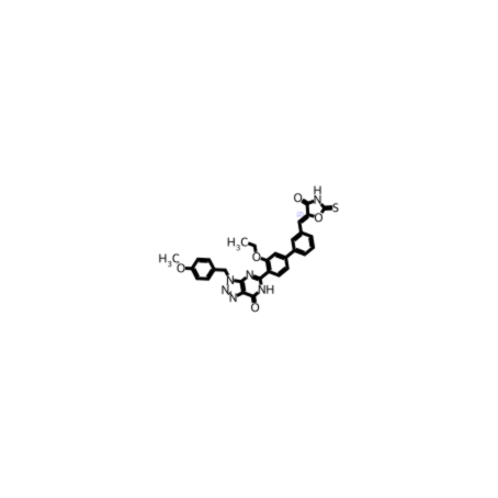 CCOc1cc(-c2cccc(/C=C3\OC(=S)NC3=O)c2)ccc1-c1nc2c(nnn2Cc2ccc(OC)cc2)c(=O)[nH]1